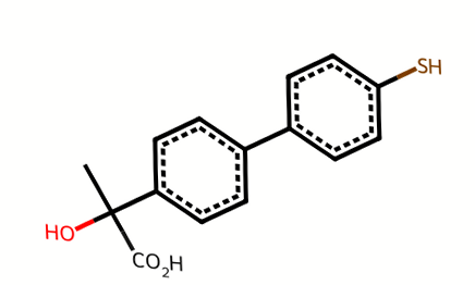 CC(O)(C(=O)O)c1ccc(-c2ccc(S)cc2)cc1